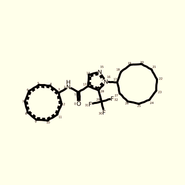 O=C(Nc1ccccccccc1)c1cnn(C2CCCCCCCCCC2)c1C(F)(F)F